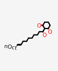 CCCCCCCCC=CCCCCCCCC(=O)C1C(=O)CCCC1=O